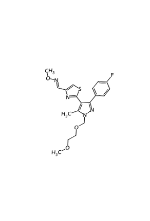 COCCOCn1nc(-c2ccc(F)cc2)c(-c2nc(C=NOC)cs2)c1C